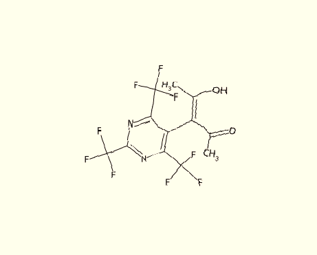 CC(=O)/C(=C(/C)O)c1c(C(F)(F)F)nc(C(F)(F)F)nc1C(F)(F)F